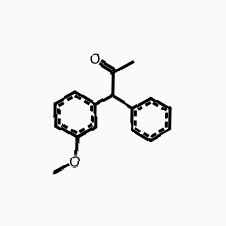 COc1cccc(C(C(C)=O)c2ccccc2)c1